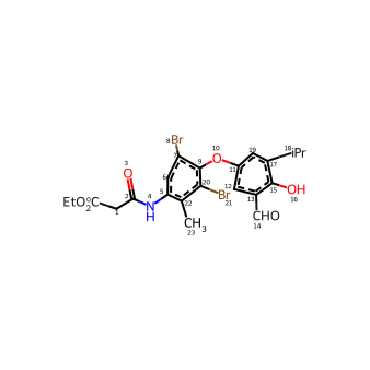 CCOC(=O)CC(=O)Nc1cc(Br)c(Oc2cc(C=O)c(O)c(C(C)C)c2)c(Br)c1C